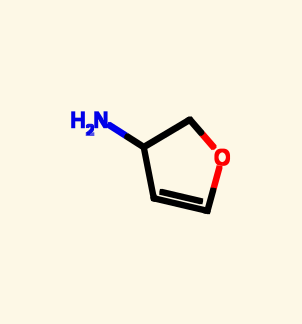 NC1C=COC1